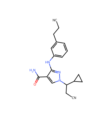 N#CCCc1cccc(Nc2nn(C(CC#N)C3CC3)cc2C(N)=O)c1